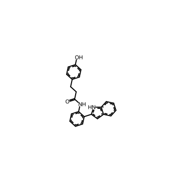 O=C(CCc1ccc(O)cc1)Nc1ccccc1-c1cc2ccccc2[nH]1